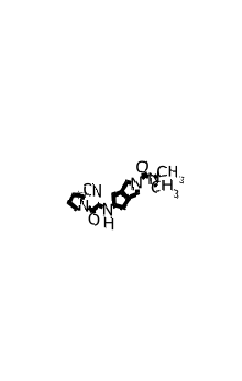 CN(C)C(=O)N1CC2CC(NCC(=O)N3CCC[C@H]3C#N)CC2C1